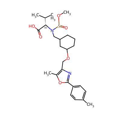 COS(=O)N(CC1CCCC(OCc2nc(-c3ccc(C)cc3)oc2C)C1)[C@H](C(=O)O)C(C)C